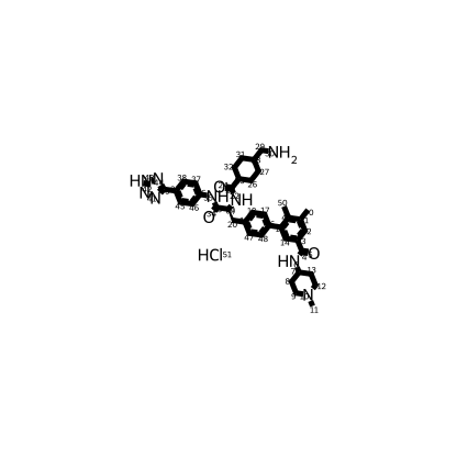 Cc1cc(C(=O)NC2CCN(C)CC2)cc(-c2ccc(C[C@H](NC(=O)C3CCC(CN)CC3)C(=O)Nc3ccc(-c4nn[nH]n4)cc3)cc2)c1C.Cl